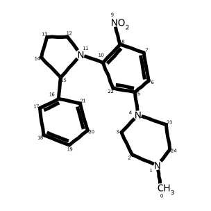 CN1CCN(c2ccc([N+](=O)[O-])c(N3CCCC3c3ccccc3)c2)CC1